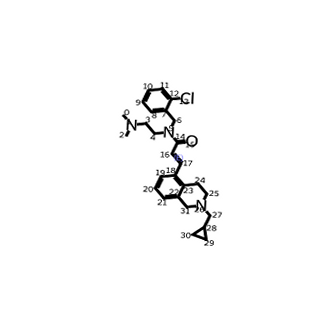 CN(C)CCN(Cc1ccccc1Cl)C(=O)/C=C/c1cccc2c1CCN(CC1CC1)C2